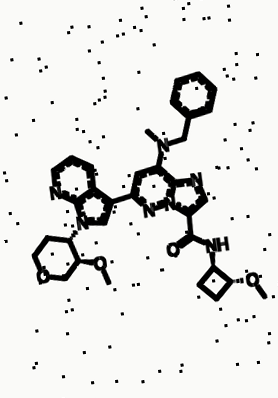 CO[C@H]1COCC[C@@H]1n1cc(-c2cc(N(C)Cc3ccccc3)c3ncc(C(=O)N[C@@H]4CC[C@H]4OC)n3n2)c2cccnc21